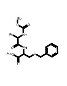 COC(=O)C(COCc1ccccc1)NC(=O)C(NC(=O)OC(C)(C)C)C(C)C